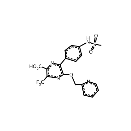 CS(=O)(=O)Nc1ccc(-c2nc(C(=O)O)c(C(F)(F)F)nc2OCc2ccccn2)cc1